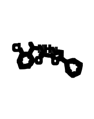 CC(NC(=O)c1ncc(-c2ccccc2)o1)c1ccccc1Cl